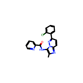 Cc1nc2ccc(-c3ccccc3Cl)nn2c1NC(=O)c1ccccn1